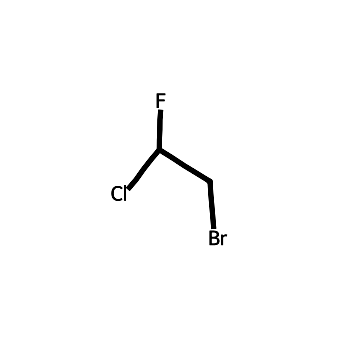 FC(Cl)CBr